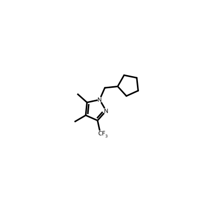 Cc1c(C(F)(F)F)nn(CC2CCCC2)c1C